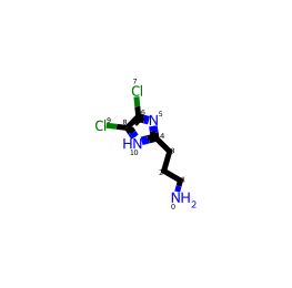 NCCCc1nc(Cl)c(Cl)[nH]1